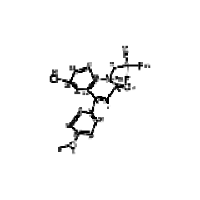 COc1ccc(-c2nc(=O)n(CC(F)(F)F)c3ccc(Cl)cc23)cc1